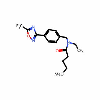 COCCCC(=O)N(Cc1ccc(-c2noc(C(F)(F)F)n2)cc1)CC(F)(F)F